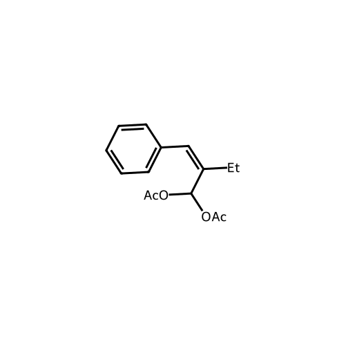 CCC(=Cc1ccccc1)C(OC(C)=O)OC(C)=O